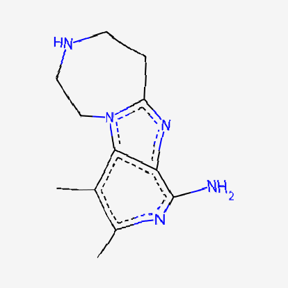 Cc1nc(N)c2nc3n(c2c1C)CCNCC3